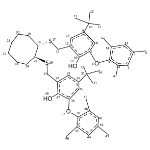 Cc1cc(C)c(Oc2cc(C(C)(C)C)cc(CS[C@H]3CCCCCC[C@@H]3SCc3cc(C(C)(C)C)cc(Oc4c(C)cc(C)cc4C)c3O)c2O)c(C)c1